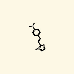 CN(C)c1ccc(C=Cc2nccn2C)cc1